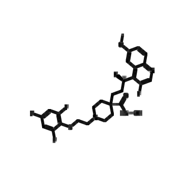 COc1ccc2ncc(F)c([C@H](F)CCC3(C(=O)NO)CCN(CCSc4c(F)cc(F)cc4F)CC3)c2c1